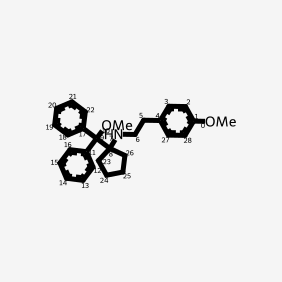 COc1ccc(CCNC2(C(OC)(c3ccccc3)c3ccccc3)CCCC2)cc1